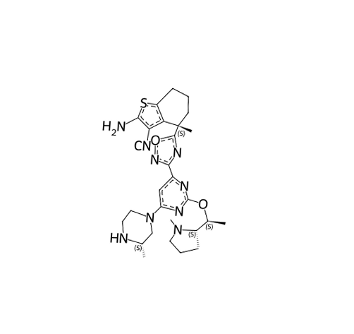 C[C@H](Oc1nc(-c2noc([C@@]3(C)CCCc4sc(N)c(C#N)c43)n2)cc(N2CCN[C@@H](C)C2)n1)[C@@H]1CCCN1C